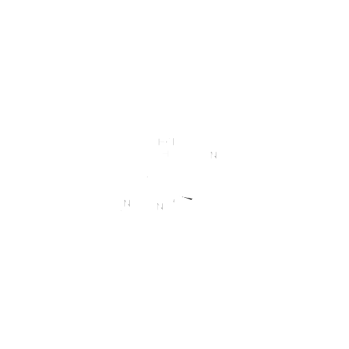 Cl.Cl.NC1=N[C@H](Cc2cccnc2)CS1